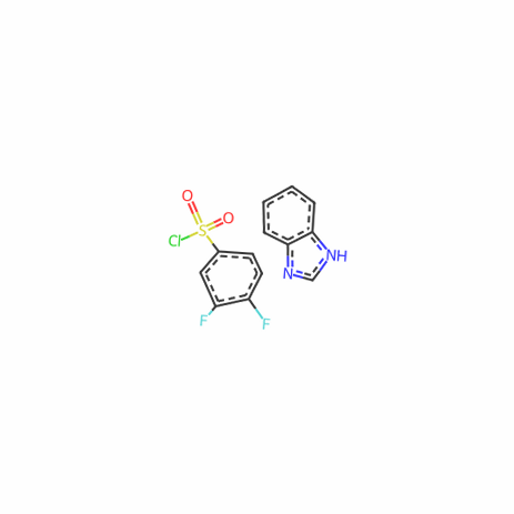 O=S(=O)(Cl)c1ccc(F)c(F)c1.c1ccc2[nH]cnc2c1